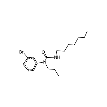 CCCCCCCNC(=O)N(CCC)c1cccc(Br)c1